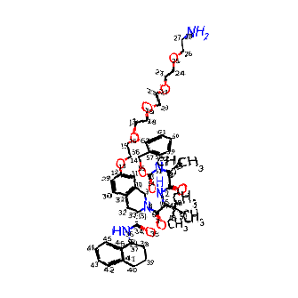 C[C@@H](C(=O)N[C@H](C(=O)N1Cc2cc(OCCOCCOCCOCCOCCN)ccc2C[C@H]1C(=O)N[C@@H]1CCCc2ccccc21)C(C)(C)C)N(C)C(=O)OCc1ccccc1